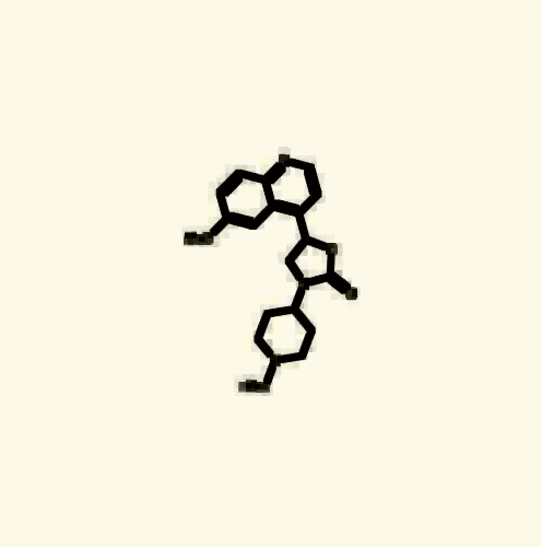 CCCCCCN1CCC(N2CC(c3ccnc4ccc(OC)cc34)OC2=O)CC1